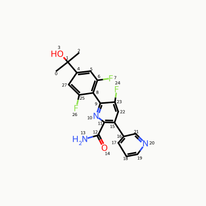 CC(C)(O)c1cc(F)c(-c2nc(C(N)=O)c(-c3cccnc3)cc2F)c(F)c1